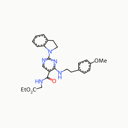 CCOC(=O)CNC(=O)c1cnc(N2CCc3ccccc32)nc1NCCc1ccc(OC)cc1